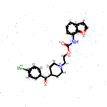 O=C(Nc1cccc2ccoc12)OCCN1CCC(C(=O)c2ccc(Br)cc2)CC1